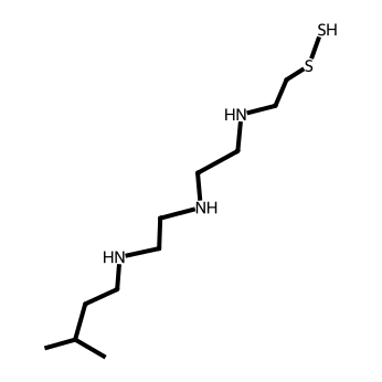 CC(C)CCNCCNCCNCCSS